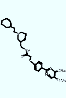 COc1cnc(-c2ccc(SCC(=O)NCC3CCCN(CCC4CCCCC4)C3)cc2)nc1OC